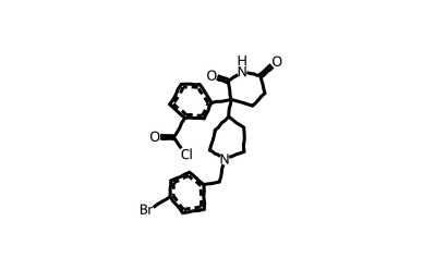 O=C1CCC(c2cccc(C(=O)Cl)c2)(C2CCN(Cc3ccc(Br)cc3)CC2)C(=O)N1